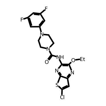 CCOc1nc2cc(Cl)sc2nc1NC(=O)N1CCN(c2cc(F)cc(F)c2)CC1